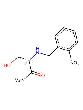 CNC(=O)[C@H](CO)NCc1ccccc1[N+](=O)[O-]